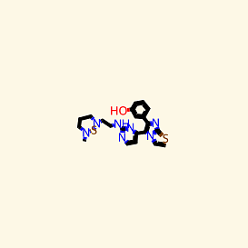 CN1CCCN(CCNc2nccc(-c3c(-c4cccc(O)c4)nc4sccn34)n2)S1